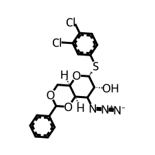 [N-]=[N+]=NC1[C@@H](O)[C@@H](Sc2ccc(Cl)c(Cl)c2)O[C@@H]2COC(c3ccccc3)O[C@H]12